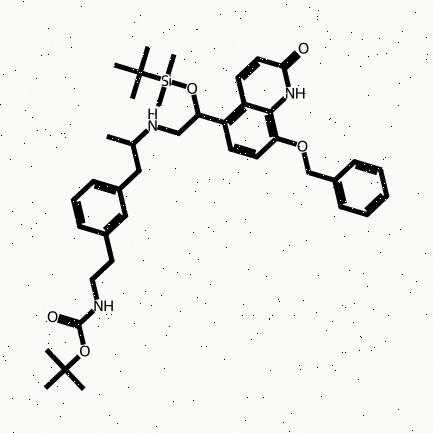 CC(Cc1cccc(CCNC(=O)OC(C)(C)C)c1)NCC(O[Si](C)(C)C(C)(C)C)c1ccc(OCc2ccccc2)c2[nH]c(=O)ccc12